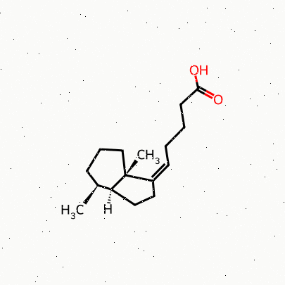 C[C@H]1CCC[C@]2(C)/C(=C\CCCC(=O)O)CC[C@@H]12